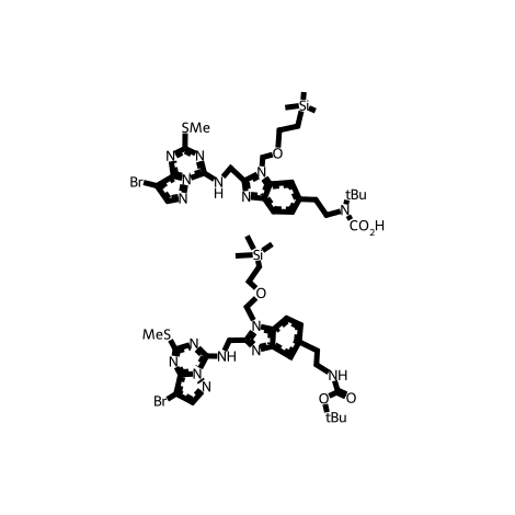 CSc1nc(NCc2nc3cc(CCNC(=O)OC(C)(C)C)ccc3n2COCC[Si](C)(C)C)n2ncc(Br)c2n1.CSc1nc(NCc2nc3ccc(CCN(C(=O)O)C(C)(C)C)cc3n2COCC[Si](C)(C)C)n2ncc(Br)c2n1